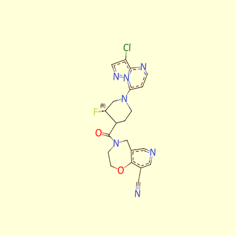 N#Cc1cncc2c1OCCN(C(=O)C1CCN(c3ccnc4c(Cl)cnn34)C[C@@H]1F)C2